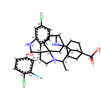 CNC12CCC(C(=O)O)(CC1)CC2C(C)N1C[C@H](c2cccc(Cl)c2F)[C@]2(C(=O)Nc3cc(Cl)ccc32)C12CCCCC2